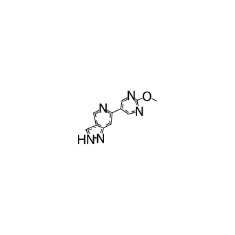 COc1ncc(-c2cc3n[nH]cc3cn2)cn1